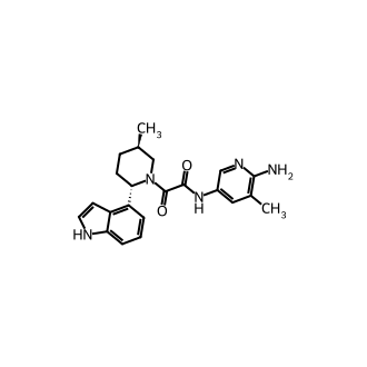 Cc1cc(NC(=O)C(=O)N2C[C@H](C)CC[C@H]2c2cccc3[nH]ccc23)cnc1N